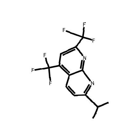 CC(C)c1ccc2c(C(F)(F)F)cc(C(F)(F)F)nc2n1